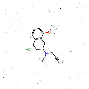 C#CCN(C)C1CCc2cccc(OC)c2C1.Cl